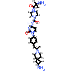 CC(Cc1ccc(-n2ccc(NC(=O)N3CCN(C(=O)C(C)(C)N)CC3)nc2=O)cc1)N1CCC2(CC1)CC(N)C2